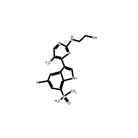 CP(C)(=O)c1cc(F)cc2c(-c3nc(NCCO)ncc3C(F)(F)F)c[nH]c12